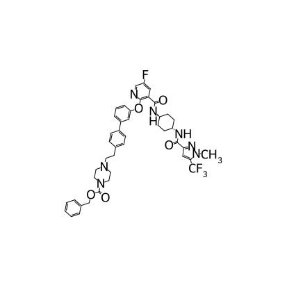 Cn1nc(C(=O)N[C@H]2CC[C@H](NC(=O)c3cc(F)cnc3Oc3cccc(-c4ccc(CCN5CCN(C(=O)OCc6ccccc6)CC5)cc4)c3)CC2)cc1C(F)(F)F